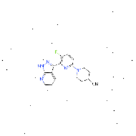 N#CC1CCN(c2ccc(F)c(-c3n[nH]c4ncccc34)n2)CC1